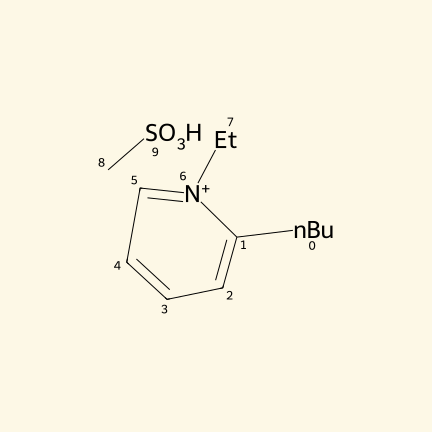 CCCCc1cccc[n+]1CC.CS(=O)(=O)O